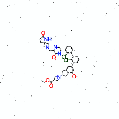 CCOC(=O)C1CN(C2Cc3cc(-c4cccc(-c5cccc(-c6cnc(CN7CC8(CCC(=O)N8)C7)c(OC)n6)c5Cl)c4Cl)cc(OC)c3C2)C1